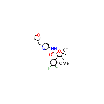 COc1c([C@H]2[C@H](C(=O)Nc3ccc(C[C@@H]4CCOC4)nc3)O[C@@](C)(C(F)(F)F)[C@H]2C)ccc(F)c1F